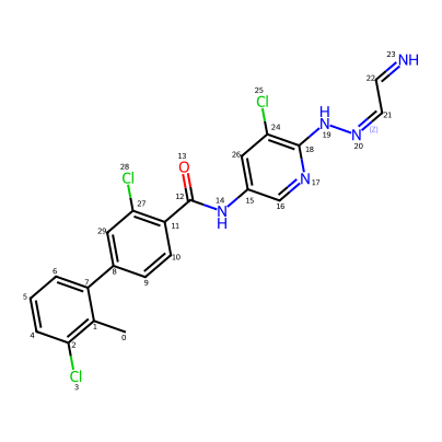 Cc1c(Cl)cccc1-c1ccc(C(=O)Nc2cnc(N/N=C\C=N)c(Cl)c2)c(Cl)c1